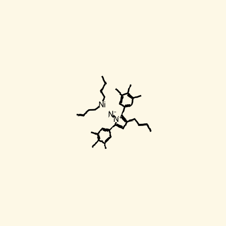 CCCCC1=C(c2cc(C)c(C)c(C)c2)[N+](=[N-])C(c2cc(C)c(C)c(C)c2)=C1.CCC[CH2][Ni][CH2]CCC